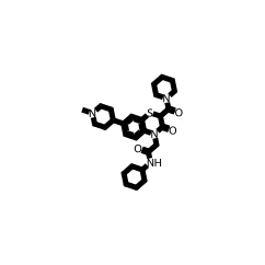 CN1CCC(c2ccc3c(c2)SC(C(=O)N2CCCCC2)C(=O)N3CC(=O)NC2CCCCC2)CC1